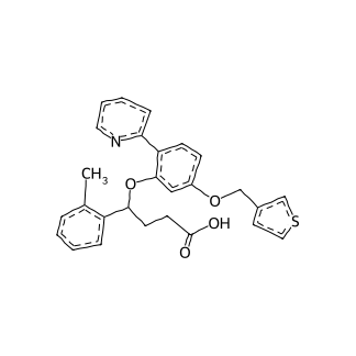 Cc1ccccc1C(CCC(=O)O)Oc1cc(OCc2ccsc2)ccc1-c1ccccn1